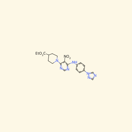 CCOC(=O)C1CCN(c2ncnc(Nc3ccc(-n4cncn4)cc3)c2[N+](=O)[O-])CC1